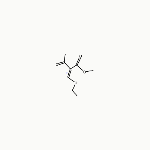 CCO/C=C(/C(C)=O)C(=O)OC